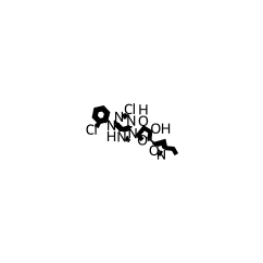 CCc1cc([C@H]2O[C@@H](n3cnc4c(Nc5ccccc5Cl)nc(Cl)nc43)[C@H](O)[C@@H]2O)on1